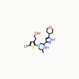 CC1CN(c2sc(Cl)cc2CCO)CC(c2cc(C3CCOCC3)[nH]n2)N1